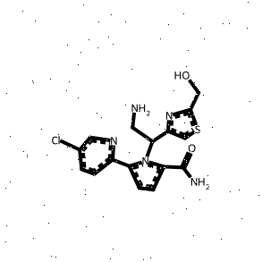 NCC(c1csc(CO)n1)n1c(C(N)=O)ccc1-c1ccc(Cl)cn1